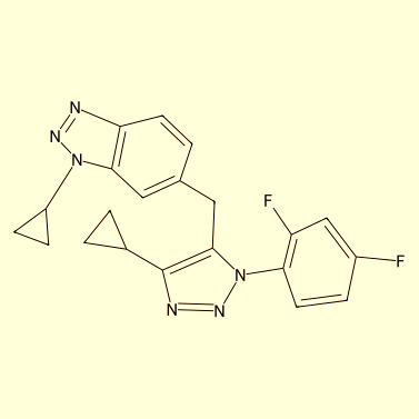 Fc1ccc(-n2nnc(C3CC3)c2Cc2ccc3nnn(C4CC4)c3c2)c(F)c1